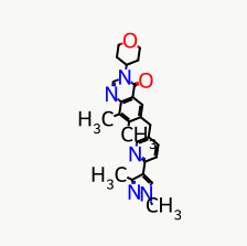 Cc1nn(C)cc1-c1ccc(Cc2cc3c(=O)n(C4CCOCC4)cnc3c(C)c2C)cn1